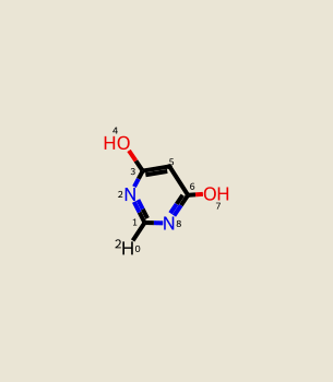 [2H]c1nc(O)cc(O)n1